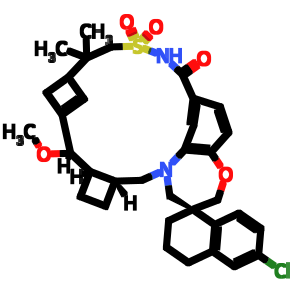 CO[C@H]1C2=CC(C2)C(C)(C)CS(=O)(=O)NC(=O)c2ccc3c(c2)N(C[C@@H]2CC[C@H]21)C[C@@]1(CCCc2cc(Cl)ccc21)CO3